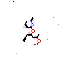 C#C/C=C(\C=C(/C)OCC)OC(/C=C\C)=N/C=C